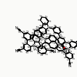 C=CCc1c(/C=C\CC)c2c(-c3ccc4c5cc(C#N)ccc5n(-c5ccc(C#N)cc5-c5cc(-c6cccc(-n7c8c(c9ccccc97)CCC=C8)c6)ccc5C#N)c4c3)cccc2n1-c1cccc(-c2cc(C#N)cc(C3C=C(C#N)C=CC3N3C4=C(C=C(C#N)C=CC4)C4CCC=CC43)c2)c1